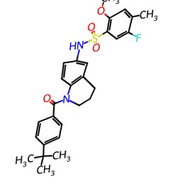 COc1cc(C)c(F)cc1S(=O)(=O)Nc1ccc2c(c1)CCCN2C(=O)c1ccc(C(C)(C)C)cc1